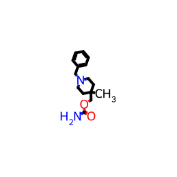 CC1(COC(N)=O)CCN(Cc2ccccc2)CC1